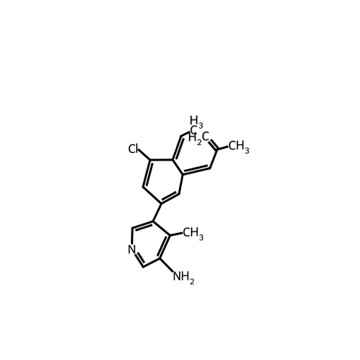 C=C(C)/C=c1/cc(-c2cncc(N)c2C)cc(Cl)/c1=C/C